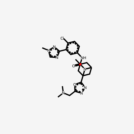 CC1CC2CC(c3nnc(CN(C)C)o3)(C1)N2C(=O)Nc1ccc(Cl)c(-c2ncn(C)n2)c1